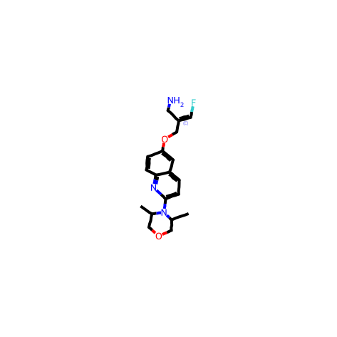 CC1COCC(C)N1c1ccc2cc(OC/C(=C/F)CN)ccc2n1